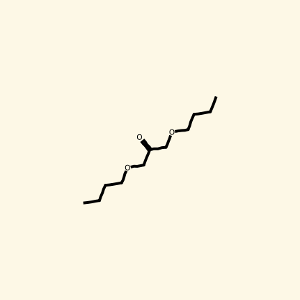 CCCCOCC(=O)COCCCC